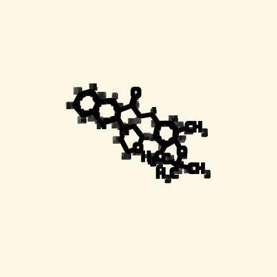 Cc1cc(CCC(=O)c2cc3ccccc3nc2N2CCOCC2)cc(C)c1OC(C)(C)C